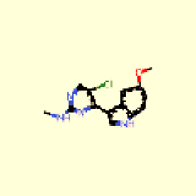 CNc1ncc(Cl)c(-c2c[nH]c3ccc(OC)cc23)n1